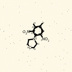 Cc1cc([N+](=O)[O-])c(N2CCOCC2)c([N+](=O)[O-])c1C